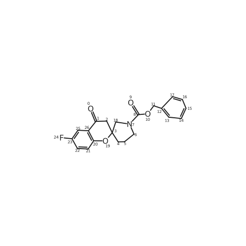 O=C1CC2(CCCN(C(=O)OCc3ccccc3)C2)Oc2ccc(F)cc21